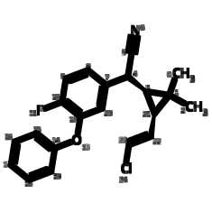 CC1(C)[C@H](C(C#N)c2ccc(F)c(Oc3ccccc3)c2)[C@@H]1C=CCl